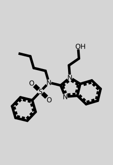 CCCCN(c1nc2ccccc2n1CCO)S(=O)(=O)c1ccccc1